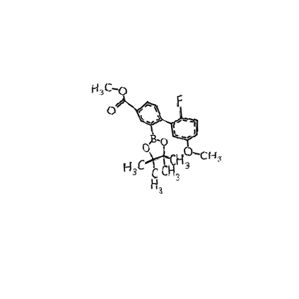 COC(=O)c1ccc(-c2cc(OC)ccc2F)c(B2OC(C)(C)C(C)(C)O2)c1